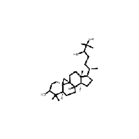 C[C@H](CCC(O)C(C)(C)O)[C@H]1CC[C@@]2(C)[C@@H]3CC[C@H]4C(C)(C)C(O)CC[C@@]45C[C@@]35CC[C@]12C